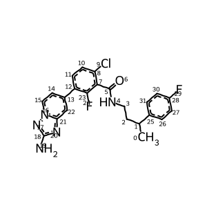 CC(CCNC(=O)c1c(Cl)ccc(-c2ccn3nc(N)nc3c2)c1F)c1ccc(F)cc1